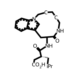 CC(C)C[C@H](CC(=O)O)C(=O)NC1Cc2cn(c3ccccc23)CCCCCNC1=O